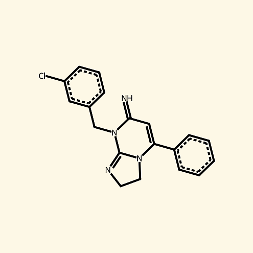 N=C1C=C(c2ccccc2)N2CCN=C2N1Cc1cccc(Cl)c1